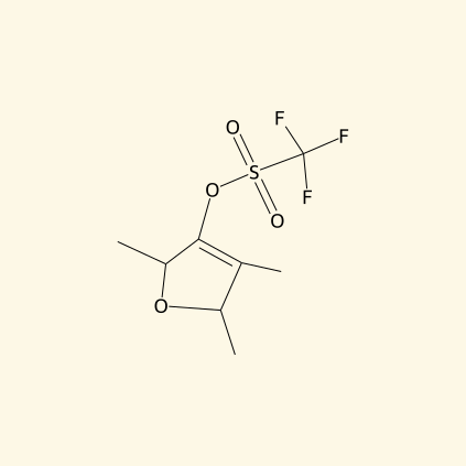 CC1=C(OS(=O)(=O)C(F)(F)F)C(C)OC1C